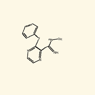 N=C(NO)c1nccnc1Sc1ccccc1